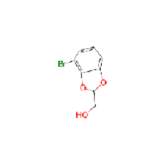 OCC1Oc2cccc(Br)c2O1